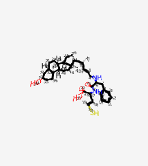 C[C@H](CCCNC(Cc1ccccc1)C(=O)NC(CCS)C(=O)O)[C@H]1CC[C@H]2[C@@H]3CC[C@@H]4C[C@H](O)CC[C@]4(C)[C@H]3CC[C@]12C